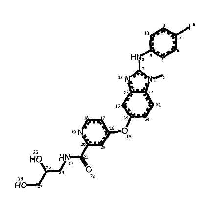 Cn1c(Nc2ccc(I)cc2)nc2cc(Oc3ccnc(C(=O)NCC(O)CO)c3)ccc21